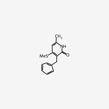 CSc1cc(C)[nH]c(=O)c1Cc1ccccc1